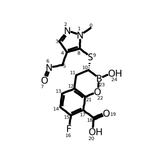 Cn1ncc(CN=O)c1S[C@H]1Cc2ccc(F)c(C(=O)O)c2OB1O